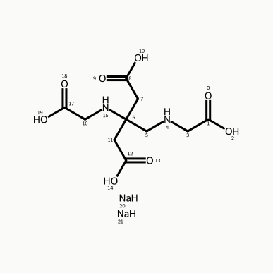 O=C(O)CNCC(CC(=O)O)(CC(=O)O)NCC(=O)O.[NaH].[NaH]